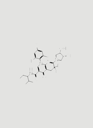 CCC(NC(=O)c1cn(-c2c(F)cc(F)cc2F)c2c(c1=O)CC(F)(F)C(N1C[C@@H](O)[C@@H](O)C1)=N2)C(C)C